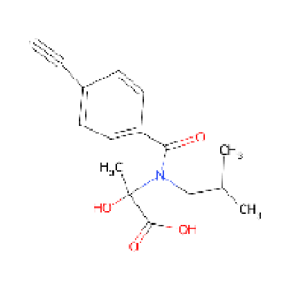 [C]#Cc1ccc(C(=O)N(CC(C)C)C(C)(O)C(=O)O)cc1